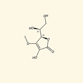 O=C1O[C@H]([C@@H](O)CO)C(OI)=C1O